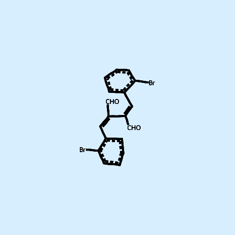 O=CC(=C/c1ccccc1Br)/C(C=O)=C\c1ccccc1Br